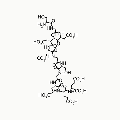 N[C@@H](CO)C(=O)NCC(=O)N[C@@H](CC(=O)O)C(=O)N[C@@H](CC(=O)O)C(=O)N[C@@H](CC(=O)O)C(=O)NCC(=O)N[C@@H](CO)C(=O)NCC(=O)N[C@@H](CCC(=O)O)C(=O)N[C@@H](CCC(=O)O)C(=O)N[C@@H](CCC(=O)O)C(=O)O